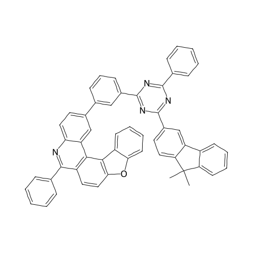 CC1(C)c2ccccc2-c2cc(-c3nc(-c4ccccc4)nc(-c4cccc(-c5ccc6nc(-c7ccccc7)c7ccc8oc9ccccc9c8c7c6c5)c4)n3)ccc21